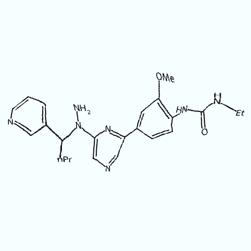 CCCC(c1cccnc1)N(N)c1cncc(-c2ccc(NC(=O)NCC)c(OC)c2)n1